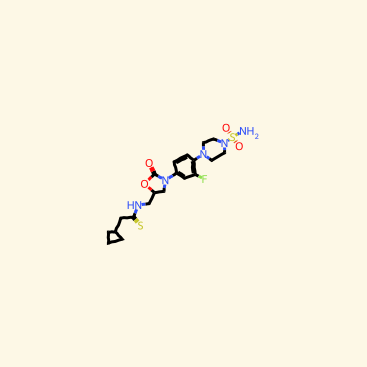 NS(=O)(=O)N1CCN(c2ccc(N3CC(CNC(=S)CC4CCC4)OC3=O)cc2F)CC1